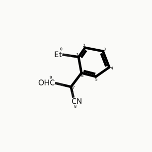 CCc1ccccc1C(C#N)C=O